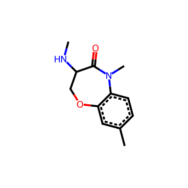 CNC1COc2cc(C)ccc2N(C)C1=O